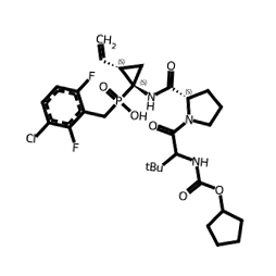 C=C[C@@H]1C[C@]1(NC(=O)[C@@H]1CCCN1C(=O)C(NC(=O)OC1CCCC1)C(C)(C)C)P(=O)(O)Cc1c(F)ccc(Cl)c1F